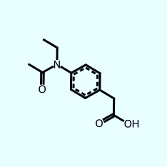 CCN(C(C)=O)c1ccc(CC(=O)O)cc1